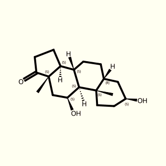 C[C@]12CC[C@H](O)C[C@H]1CC[C@@H]1[C@@H]2[C@@H](O)C[C@]2(C)C(=O)CC[C@@H]12